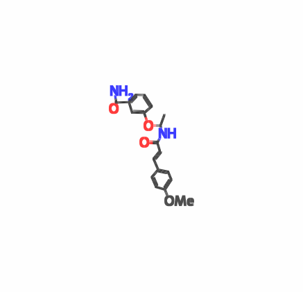 COc1ccc(C=CC(=O)NC(C)Oc2cccc(C(N)=O)c2)cc1